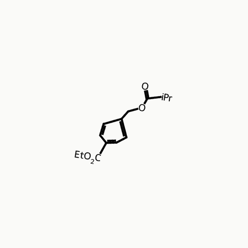 CCOC(=O)c1ccc(COC(=O)C(C)C)cc1